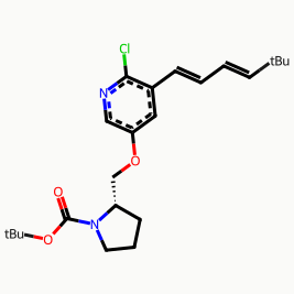 CC(C)(C)C=CC=Cc1cc(OC[C@@H]2CCCN2C(=O)OC(C)(C)C)cnc1Cl